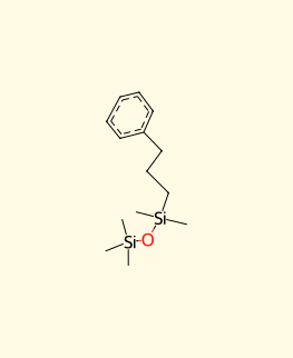 C[Si](C)(C)O[Si](C)(C)CCCc1ccccc1